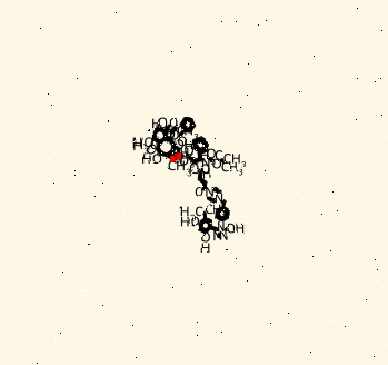 CC(=O)O[C@@]12CO[C@@H]1C[C@H](O)[C@@]1(C)C(=O)[C@H](O)C3=C(C)[C@@H](OC(=O)[C@H](OC(=O)CCC(=O)N4CCN(Cc5ccc(-n6c(O)nnc6-c6cc(C(C)C)c(O)cc6O)cc5)CC4)[C@@H](NC(=O)OC(C)(C)C)c4ccccc4)C[C@@](O)([C@@H](OC(=O)c4ccccc4)[C@H]21)C3(C)C